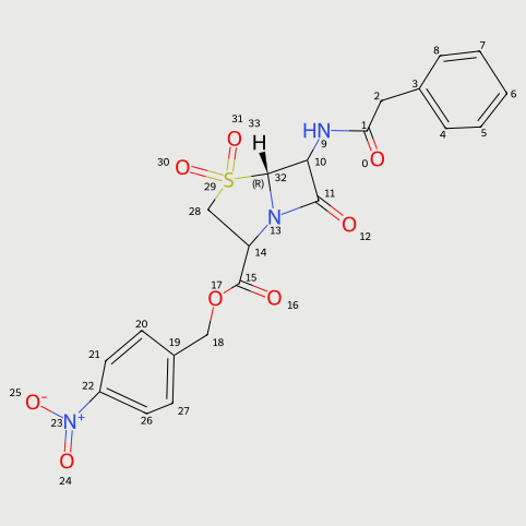 O=C(Cc1ccccc1)NC1C(=O)N2C(C(=O)OCc3ccc([N+](=O)[O-])cc3)CS(=O)(=O)[C@H]12